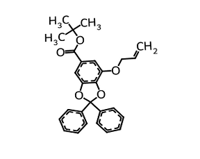 C=CCOc1cc(C(=O)OC(C)(C)C)cc2c1OC(c1ccccc1)(c1ccccc1)O2